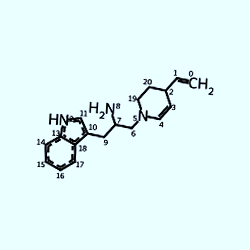 C=CC1C=CN(CC(N)Cc2c[nH]c3ccccc23)CC1